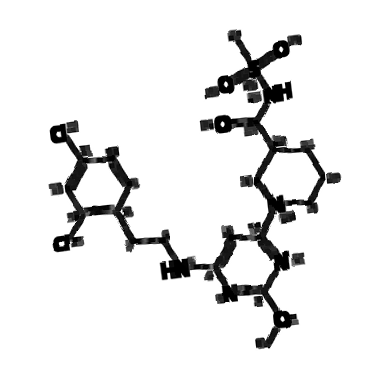 COc1nc(NCCc2ccc(Cl)cc2Cl)cc(N2CCCC(C(=O)NS(C)(=O)=O)C2)n1